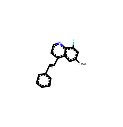 COc1cc(F)c2nccc(/C=C/c3ccccc3)c2c1